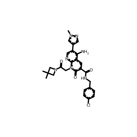 Cn1cc(-c2cnc3c(cc(C(=O)NCc4ccc(Cl)cc4)c(=O)n3CC(=O)N3CC(C)(C)C3)c2N)cn1